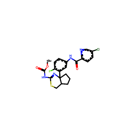 CC(C)(C)OC(=O)NC1=NC2(c3cc(NC(=O)c4ccc(Cl)cn4)ccc3F)CCCC2CS1